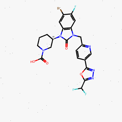 O=C(O)N1CCC[C@@H](n2c(=O)n(Cc3ccc(-c4nnc(C(F)F)o4)cn3)c3cc(F)c(Br)cc32)C1